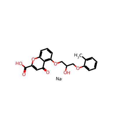 Cc1ccccc1OCC(O)COc1cccc2oc(C(=O)O)cc(=O)c12.[Na]